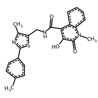 Cc1ccc(-c2nc(C)c(CNC(=O)c3c(O)c(=O)n(C)c4ccccc34)s2)cc1